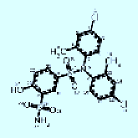 Cc1cc(Cl)ccc1N(c1ccc(Cl)cc1C)S(=O)(=O)c1ccc(O)c(S(N)(=O)=O)c1